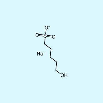 O=S(=O)([O-])CCCCCO.[Na+]